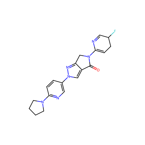 O=C1c2cn(-c3ccc(N4CCCC4)nc3)nc2CN1C1=CCC(F)C=N1